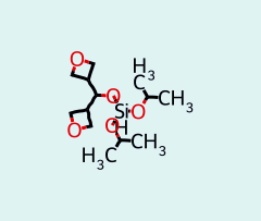 CC(C)O[SiH](OC(C)C)OC(C1COC1)C1COC1